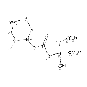 CC1CNCCN1OC(=O)CC(O)(CC(=O)O)C(=O)O